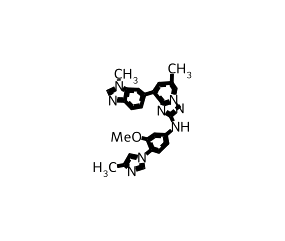 COc1cc(Nc2nc3c(-c4ccc5ncn(C)c5c4)cc(C)cn3n2)ccc1-n1cnc(C)c1